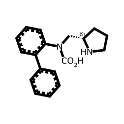 O=C(O)N(C[C@@H]1CCCN1)c1ccccc1-c1ccccc1